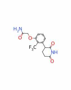 NC(=O)COc1cccc(C2CCC(=O)NC2=O)c1C(F)(F)F